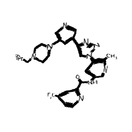 Cc1ncc(NC(=O)c2cc(C(F)(F)F)ccn2)cc1-n1cc(-c2cncc(N3CCN(CC(C)C)CC3)c2)nn1